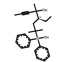 CC#CC(C)(O)[C@@H](CC)CC(C)(C)[Si](O)(c1ccccc1)c1ccccc1